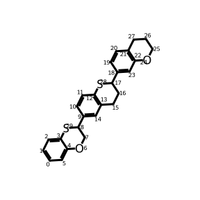 c1ccc2c(c1)OCC(c1ccc3c(c1)CCC(c1ccc4c(c1)OCCC4)S3)S2